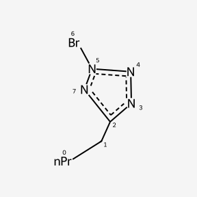 CCCCc1nnn(Br)n1